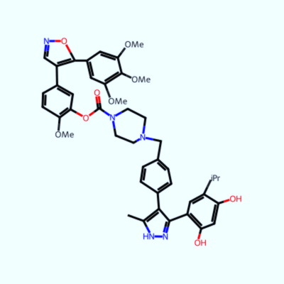 COc1ccc(-c2cnoc2-c2cc(OC)c(OC)c(OC)c2)cc1OC(=O)N1CCN(Cc2ccc(-c3c(-c4cc(C(C)C)c(O)cc4O)n[nH]c3C)cc2)CC1